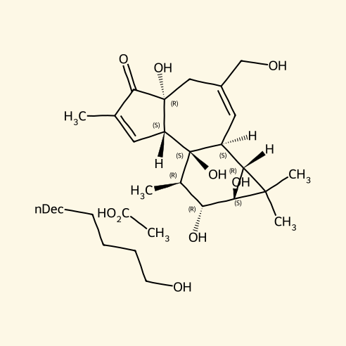 CC(=O)O.CC1=C[C@H]2[C@@]3(O)[C@H](C)[C@@H](O)[C@]4(O)[C@H]([C@@H]3C=C(CO)C[C@]2(O)C1=O)C4(C)C.CCCCCCCCCCCCCCO